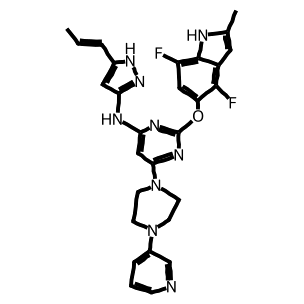 C/C=C/c1cc(Nc2cc(N3CCN(c4cccnc4)CC3)nc(Oc3cc(F)c4[nH]c(C)cc4c3F)n2)n[nH]1